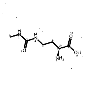 CNC(=O)NCC[C@H](N)C(=O)O